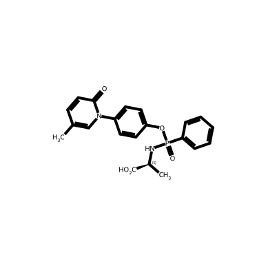 Cc1ccc(=O)n(-c2ccc(OP(=O)(N[C@@H](C)C(=O)O)c3ccccc3)cc2)c1